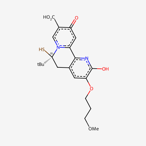 COCCCOc1cc2c(nc1O)-c1cc(=O)c(C(=O)O)cn1[C@@](S)(C(C)(C)C)C2